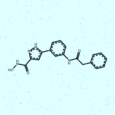 O=C(Cc1ccccc1)Nc1cccc(-c2cc(C(=O)NO)n[nH]2)c1